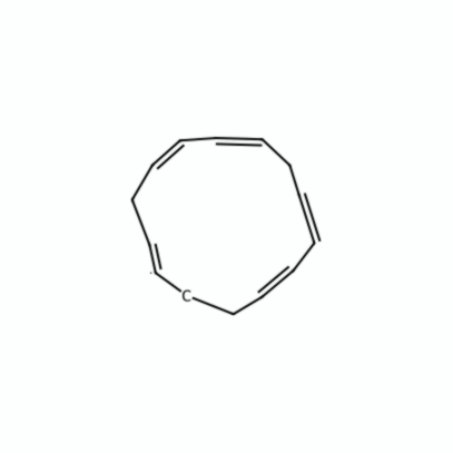 [C]1=CCC=CC=CCC=CC=CCC1